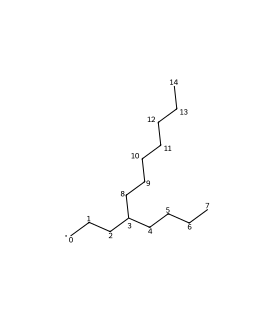 [CH2]CCC(CCCC)CCCCCCC